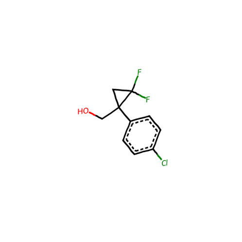 OCC1(c2ccc(Cl)cc2)CC1(F)F